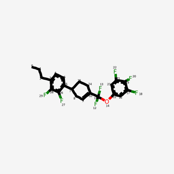 CCCc1ccc(C2CC=C(C(F)(F)Oc3cc(F)c(F)c(F)c3)CC2)c(F)c1F